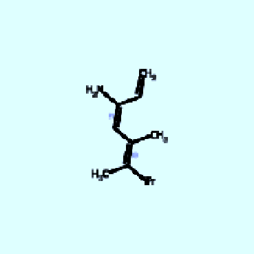 C=C/C(N)=C\C(C)=C(/C)C(C)C